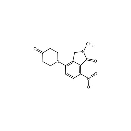 CN1Cc2c(N3CCC(=O)CC3)ccc([N+](=O)[O-])c2C1=O